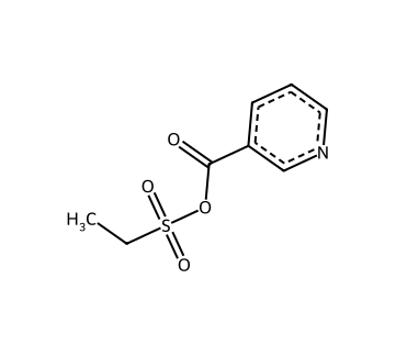 CCS(=O)(=O)OC(=O)c1cccnc1